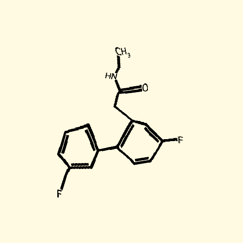 CNC(=O)Cc1cc(F)ccc1-c1cccc(F)c1